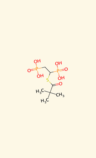 CC(C)(C)C(=O)SC(CP(=O)(O)O)P(=O)(O)O